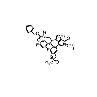 Cn1cc2c3c(c[nH]c3c1=O)C(CCNC(=O)OCc1ccccc1)N(c1ccc(F)cc1F)c1ccc(CS(C)(=O)=O)cc1-2